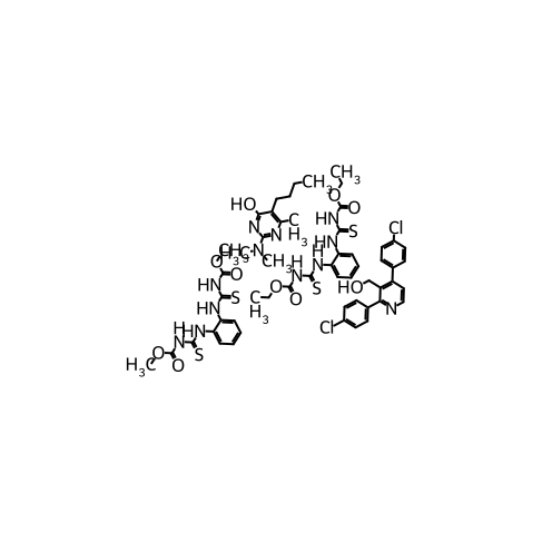 CCCCc1c(C)nc(N(C)C)nc1O.CCOC(=O)NC(=S)Nc1ccccc1NC(=S)NC(=O)OCC.COC(=O)NC(=S)Nc1ccccc1NC(=S)NC(=O)OC.OCc1c(-c2ccc(Cl)cc2)ccnc1-c1ccc(Cl)cc1